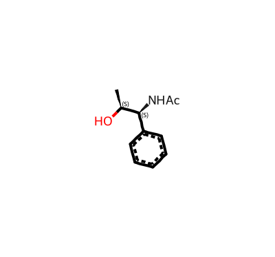 CC(=O)N[C@@H](c1ccccc1)[C@H](C)O